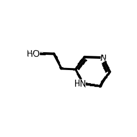 OCCC1=CN=CCN1